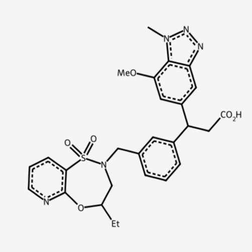 CCC1CN(Cc2cccc(C(CC(=O)O)c3cc(OC)c4c(c3)nnn4C)c2)S(=O)(=O)c2cccnc2O1